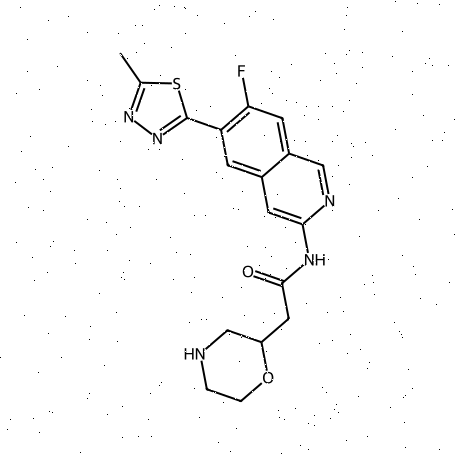 Cc1nnc(-c2cc3cc(NC(=O)CC4CNCCO4)ncc3cc2F)s1